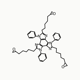 c1ccc(-n2c(CCCCCC3CO3)nc3c2c2nc(CCCCCC4CO4)n(-c4ccccc4)c2c2nc(CCCCCC4CO4)n(-c4ccccc4)c32)cc1